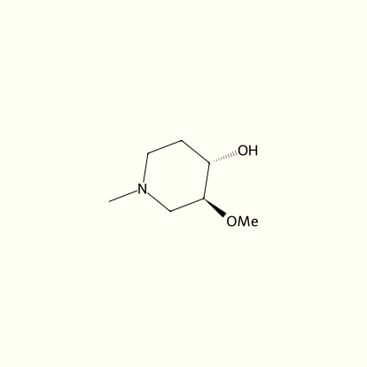 CO[C@H]1CN(C)CC[C@@H]1O